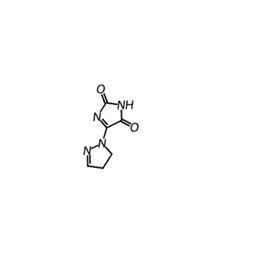 O=C1N=C(N2CCC=N2)C(=O)N1